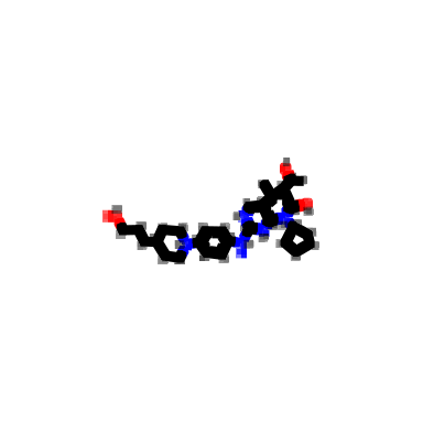 CC(=O)c1c(C)c2cnc(Nc3ccc(N4CCC(CCCO)CC4)cc3)nc2n(C2CCCC2)c1=O